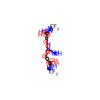 N=NNCCC(=O)NC(COCCC(=O)CC1CCC([C@H]2OC[C@H](Nc3nccc(C(F)(F)F)n3)[C@@H](O)[C@H]2O)C1)COCCC(=O)C1CCC([C@H]2OC[C@H](Nc3nccc(C(F)(F)F)n3)[C@@H](O)[C@H]2O)CC1